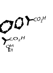 C=C(C)C(=O)O.C=C(C)C(=O)O.CCO.c1ccccc1.c1ccccc1